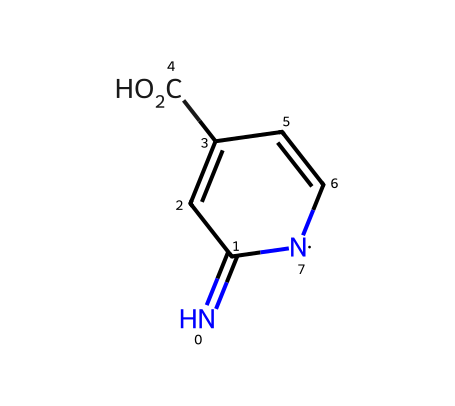 N=C1C=C(C(=O)O)C=C[N]1